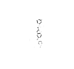 CC(c1ccc2[nH]c(C(=O)Nc3cc(F)cc(F)c3)cc2c1)[C@@H]1CCN(CC(F)(F)F)C1